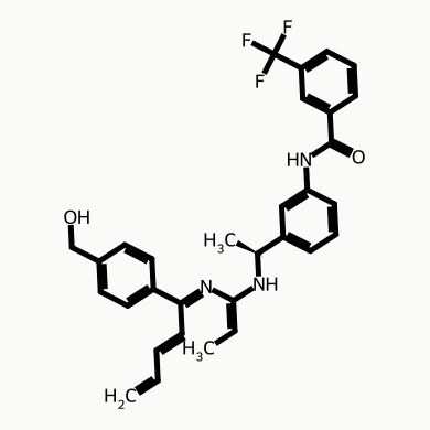 C=C/C=C/C(=N\C(=C/C)N[C@@H](C)c1cccc(NC(=O)c2cccc(C(F)(F)F)c2)c1)c1ccc(CO)cc1